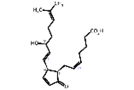 CC(C)=CCC[C@H](O)/C=C/[C@@H]1C=CC(=O)[C@@H]1C/C=C\CCCC(=O)O